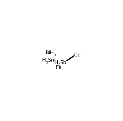 [BiH3].[Co][SbH2].[Fe].[SnH2]